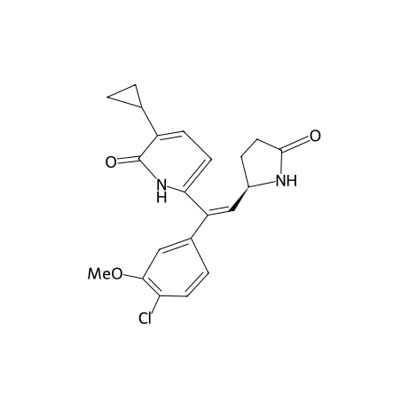 COc1cc(C(=C[C@H]2CCC(=O)N2)c2ccc(C3CC3)c(=O)[nH]2)ccc1Cl